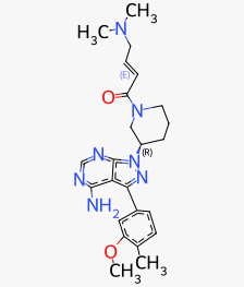 COc1cc(-c2nn([C@@H]3CCCN(C(=O)/C=C/CN(C)C)C3)c3ncnc(N)c23)ccc1C